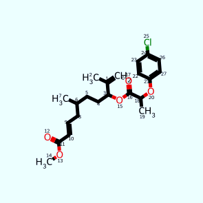 C=C(C)C(CCC(C)CC=CC(=O)OC)OC(=O)C(C)Oc1ccc(Cl)cc1